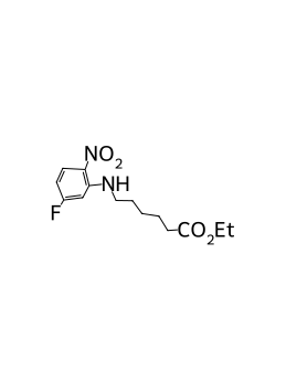 CCOC(=O)CCCCCNc1cc(F)ccc1[N+](=O)[O-]